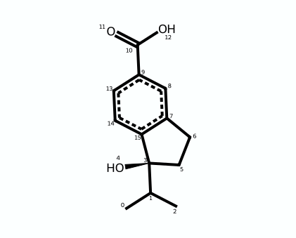 CC(C)[C@@]1(O)CCc2cc(C(=O)O)ccc21